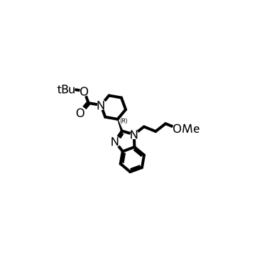 COCCCn1c([C@@H]2CCCN(C(=O)OC(C)(C)C)C2)nc2ccccc21